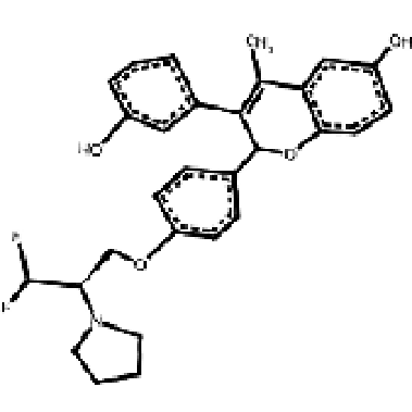 CC1=C(c2cccc(O)c2)C(c2ccc(OC[C@H](C(F)F)N3CCCC3)cc2)Oc2ccc(O)cc21